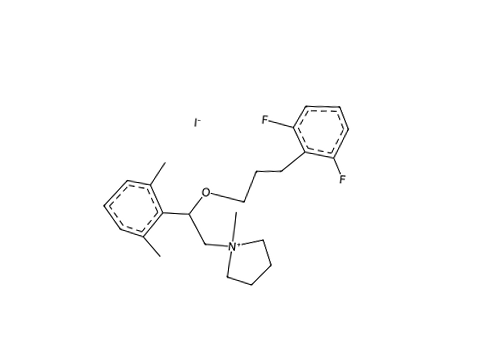 Cc1cccc(C)c1C(C[N+]1(C)CCCC1)OCCCc1c(F)cccc1F.[I-]